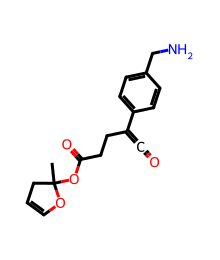 CC1(OC(=O)CCC(=C=O)c2ccc(CN)cc2)CC=CO1